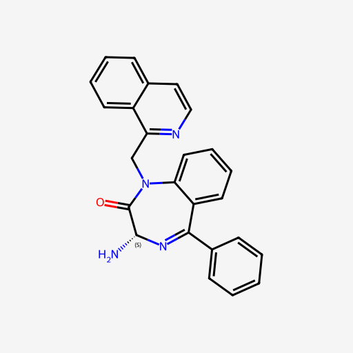 N[C@H]1N=C(c2ccccc2)c2ccccc2N(Cc2nccc3ccccc23)C1=O